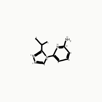 CC(C)c1nncn1-c1cccc(N)n1